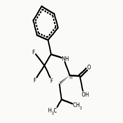 CC(C)C[C@H](NC(c1ccccc1)C(F)(F)F)C(=O)O